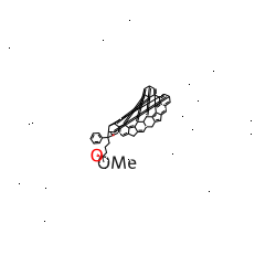 COC(=O)CCCC1(c2ccccc2)C2c3cc4c5c6c7c8c9c%10c%11c(cc%12cc%13cc%14c%15c%16c%13c(c%12%11)c9c%16c9c(c3c5c89)C%15C21C=%14)CC(C=C6C4)C7%10